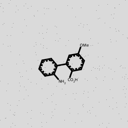 COc1ccc(C(=O)O)c(-c2ccccc2N)c1